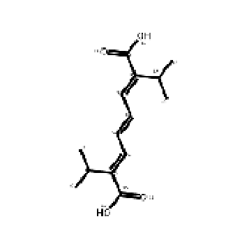 CC(C)\C(=C/C=C/C=C(/C(=O)O)C(C)C)C(=O)O